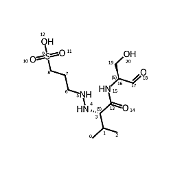 CC(C)[C@H](NNCCCS(=O)(=O)O)C(=O)N[C@H](C=O)CO